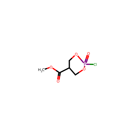 COC(=O)C1COP(=O)(Cl)OC1